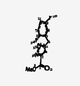 COC(=O)c1cn(Cc2cc(F)ccc2F)nn1